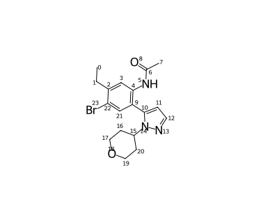 CCc1cc(NC(C)=O)c(-c2ccnn2C2CCOCC2)cc1Br